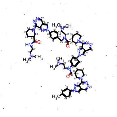 Cc1ccc(-n2cc3cnnc(N4CCC[C@@H](C(=O)N(CCN(C)C)c5ccc(-n6cc7cnnc(N8CCC[C@H](C(=O)N(CCN(C)C)Cc9ccc(-n%10cc%11cnnc(N%12CCCC(C(=O)NCCN(C)C)C%12)c%11n%10)cc9)C8)c7n6)cc5)C4)c3n2)cc1